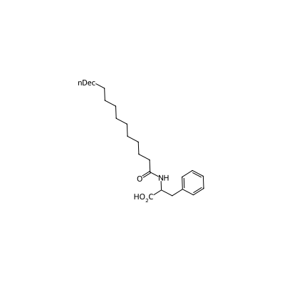 CCCCCCCCCCCCCCCCCCCC(=O)NC(Cc1ccccc1)C(=O)O